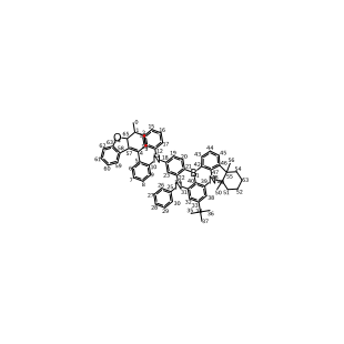 CC1C=CC(c2ccccc2N(c2ccccc2)c2ccc3c(c2)N(c2ccccc2)c2cc(C(C)(C)C)cc4c2B3c2cccc3c2N4C2(C)CCCCC32C)=C2c3ccccc3OC21